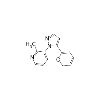 Cc1ncccc1-n1nccc1C1=CC=CCO1